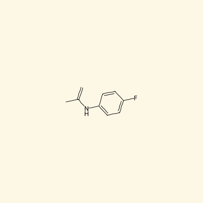 C=C(C)Nc1ccc(F)cc1